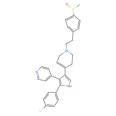 C[S+]([O-])c1ccc(CCN2CC=C(c3c[nH]c(-c4ccc(F)cc4)c3-c3ccncc3)CC2)cc1